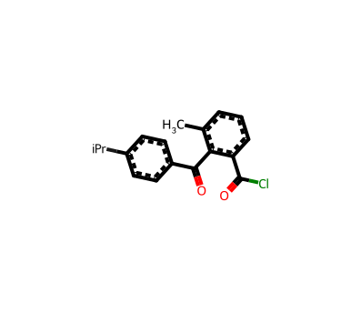 Cc1cccc(C(=O)Cl)c1C(=O)c1ccc(C(C)C)cc1